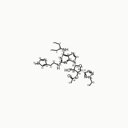 CCC(CC)Nc1nc(NCCc2cn(C)cn2)nc2c1ncn2[C@@H]1O[C@H](c2nnn(CC)n2)[C@@H](OC(C)=O)[C@H]1O